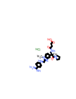 Cl.Cn1c(CNc2ccc(C(=N)N)cc2)nc2cc(C(C)(CNC(=O)CCC(=O)O)C(=O)N3CCCC3)ccc21